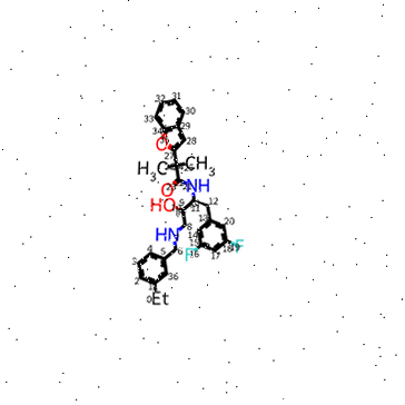 CCc1cccc(CNC[C@@H](O)[C@H](Cc2cc(F)cc(F)c2)NC(=O)C(C)(C)c2cc3ccccc3o2)c1